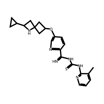 Cc1cccnc1NC(=S)NC(=N)c1ccc(OC2CC3(C2)CC(C2CC2)N3)cn1